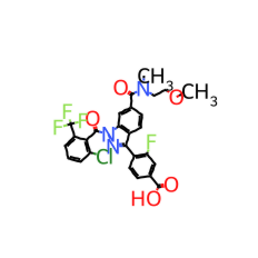 COCCN(C)C(=O)c1ccc2c(-c3ccc(C(=O)O)cc3F)nn(C(=O)c3c(Cl)cccc3C(F)(F)F)c2c1